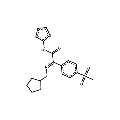 CS(=O)(=O)c1ccc(/C(=N\OC2CCCC2)C(=O)Nc2nccs2)cc1